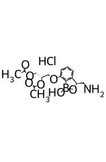 CC(=O)OC[C@H](COc1cccc2c1B(O)O[C@@H]2CN)OC(C)=O.Cl